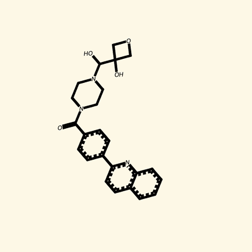 O=C(c1ccc(-c2ccc3ccccc3n2)cc1)N1CCN(C(O)C2(O)COC2)CC1